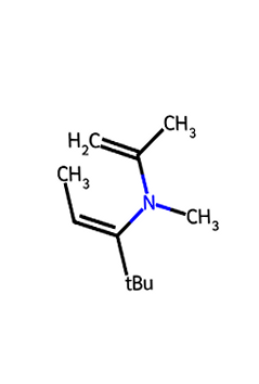 C=C(C)N(C)/C(=C\C)C(C)(C)C